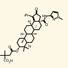 CC(C)C1=C2[C@H]3CC[C@@H]4[C@@]5(C)CC[C@H](OC(=O)CC(C)(C)C(=O)O)C(C)(C)[C@@H]5CC[C@@]4(C)[C@]3(C)CC[C@@]2(C(=O)Nc2ccn(C)n2)CC1=O